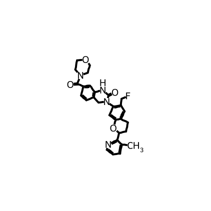 Cc1cccnc1C1CCc2cc(CF)c(N3Cc4ccc(C(=O)N5CCOCC5)cc4NC3=O)cc2O1